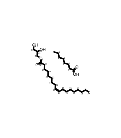 CCCCCCCC(=O)O.CCCCCCCC/C=C\CCCCCCCC(=O)OCC(O)CO